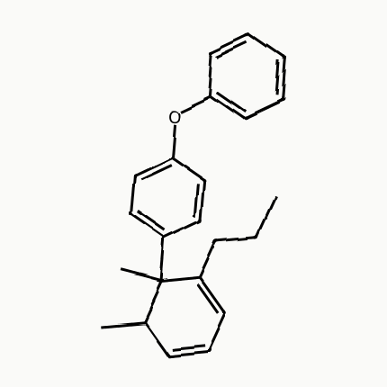 CCCC1=CC=CC(C)C1(C)c1ccc(Oc2ccccc2)cc1